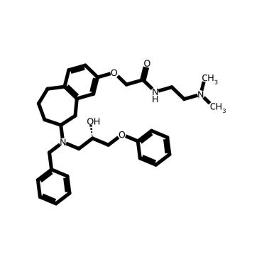 CN(C)CCNC(=O)COc1ccc2c(c1)CC(N(Cc1ccccc1)C[C@H](O)COc1ccccc1)CCC2